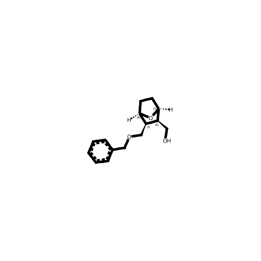 OC[C@H]1[C@@H](COCc2ccccc2)[C@H]2CC[C@@H]1O2